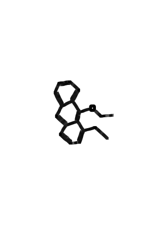 CCOc1c2ccccc2cc2cccc(CC)c12